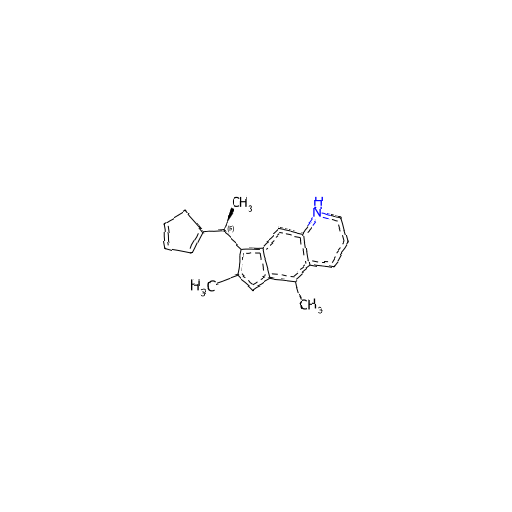 Cc1cc2c(C)c3ccc[nH]c3cc2c1[C@H](C)C1=CC=CC1